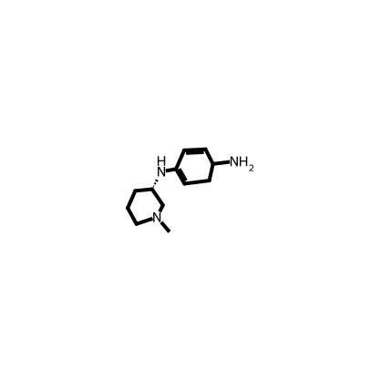 CN1CCC[C@H](NC2=CCC(N)C=C2)C1